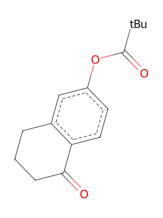 CC(C)(C)C(=O)Oc1ccc2c(c1)CCCC2=O